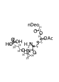 CCCCCCCCCCCC(=O)OC[C@H](CSC[C@H](N)C(=O)NC1(COCCCP(=O)(O)O)CC1)OC(C)=O